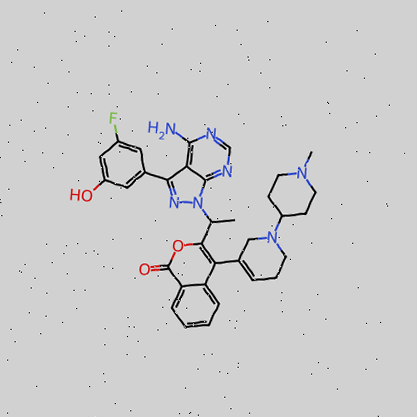 CC(c1oc(=O)c2ccccc2c1C1=CCCN(C2CCN(C)CC2)C1)n1nc(-c2cc(O)cc(F)c2)c2c(N)ncnc21